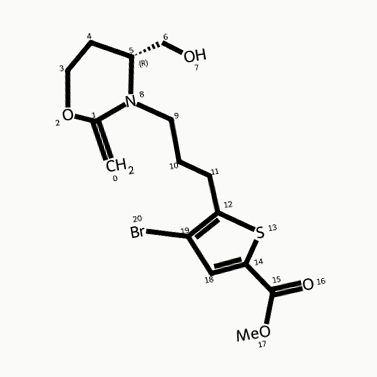 C=C1OCC[C@H](CO)N1CCCc1sc(C(=O)OC)cc1Br